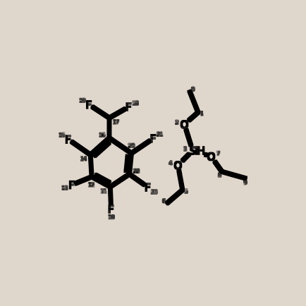 CCO[SiH](OCC)OCC.Fc1c(F)c(F)c(C(F)F)c(F)c1F